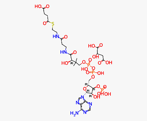 CC(C)(COP(=O)(O)OP(=O)(O)OC[C@H]1O[C@@H](n2cnc3c(N)ncnc32)[C@H](O)[C@@H]1OP(=O)(O)O)[C@@H](O)C(=O)NCCC(=O)NCCSC(=O)CCC(=O)O.O=C(O)CC(O)C(=O)O